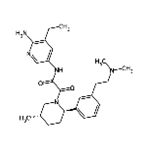 CCc1cc(NC(=O)C(=O)N2C[C@@H](C)CC[C@@H]2c2cccc(CCN(C)C)c2)cnc1N